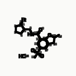 CCN1CCCC1CNC(=O)c1cc(S(C)(=O)=O)cc2c1OC(C)C2.Cl